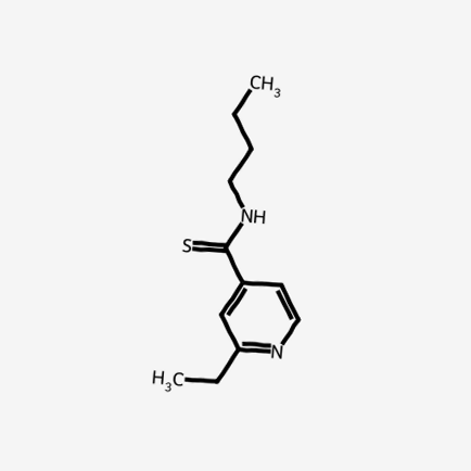 CCCCNC(=S)c1ccnc(CC)c1